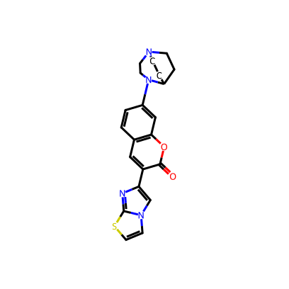 O=c1oc2cc(N3CCN4CCC3CC4)ccc2cc1-c1cn2ccsc2n1